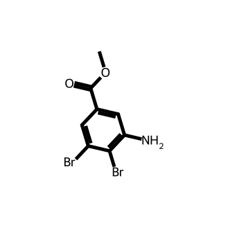 COC(=O)c1cc(N)c(Br)c(Br)c1